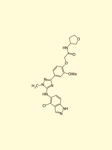 COc1cc(-c2nc(Nc3ccc4[nH]ncc4c3Cl)n(C)n2)ccc1OCC(=O)NC1CCOC1